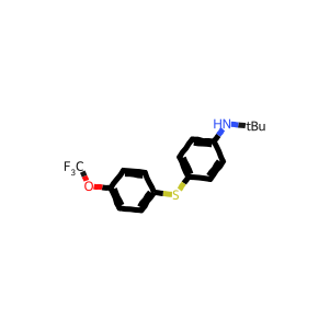 CC(C)(C)Nc1ccc(Sc2ccc(OC(F)(F)F)cc2)cc1